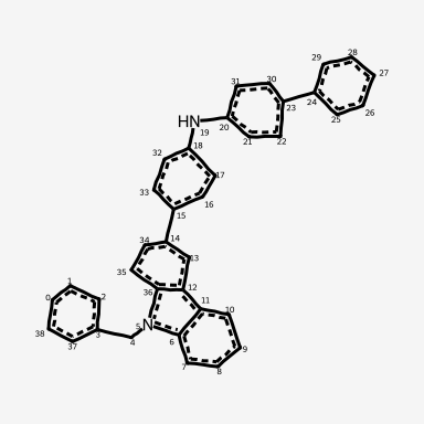 c1ccc(Cn2c3ccccc3c3cc(-c4ccc(Nc5ccc(-c6ccccc6)cc5)cc4)ccc32)cc1